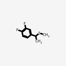 CSC(C)c1ccc(F)c(F)c1